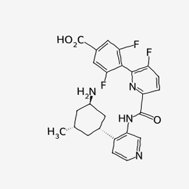 C[C@@H]1C[C@@H](N)C[C@H](c2ccncc2NC(=O)c2ccc(F)c(-c3c(F)cc(C(=O)O)cc3F)n2)C1